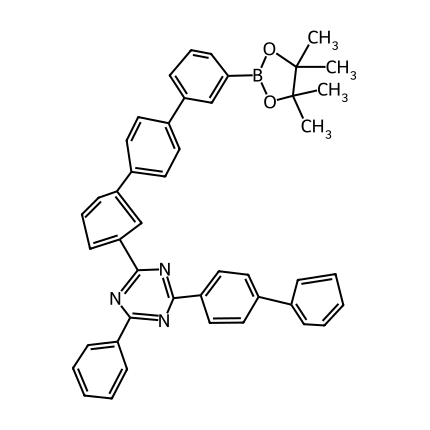 CC1(C)OB(c2cccc(-c3ccc(-c4cccc(-c5nc(-c6ccccc6)nc(-c6ccc(-c7ccccc7)cc6)n5)c4)cc3)c2)OC1(C)C